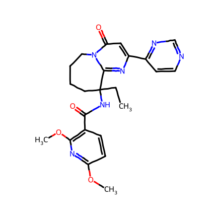 CCC1(NC(=O)c2ccc(OC)nc2OC)CCCCn2c1nc(-c1ccncn1)cc2=O